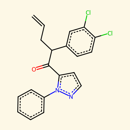 C=CCC(C(=O)c1ccnn1-c1ccccc1)c1ccc(Cl)c(Cl)c1